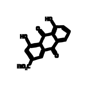 CCOC(=O)c1cc(O)c2c(c1)C(=O)c1cccc(O)c1C2=O